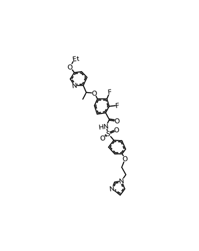 CCOc1ccc(C(C)Oc2ccc(C(=O)NS(=O)(=O)c3ccc(OCCn4ccnc4)cc3)c(F)c2F)nc1